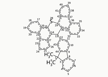 CC1(C)c2ccccc2-c2ccc(C3c4c(c5ccccc5c5ccccc45)Sc4c3c3ccccc3c3ccccc43)cc21